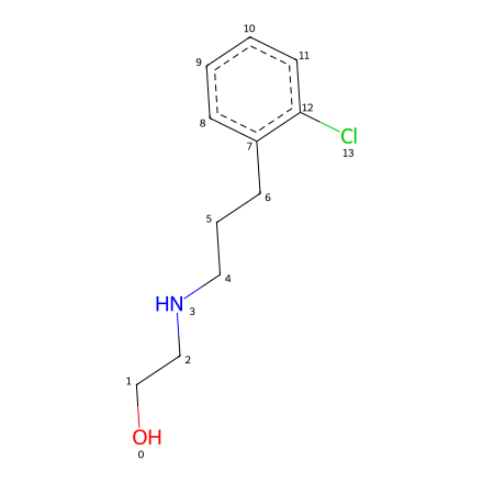 OCCNCCCc1ccccc1Cl